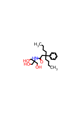 CCCCC(CCCC)(CC(=O)NC(CO)(CO)CO)c1ccccc1